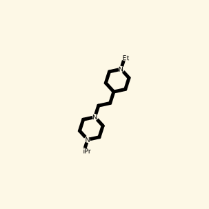 CCN1CCC(CCN2CCN(C(C)C)CC2)CC1